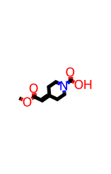 COC(=O)C=C1CCN(C(=O)O)CC1